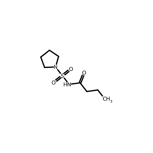 CCCC(=O)NS(=O)(=O)N1CCCC1